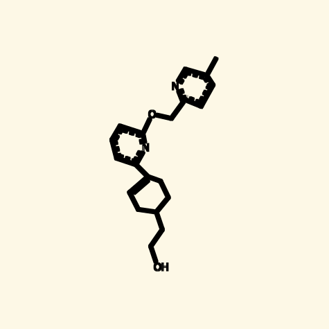 Cc1ccc(COc2cccc(C3=CCC(CCO)CC3)n2)nc1